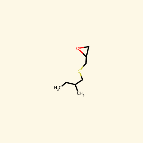 CCC(C)CSCC1CO1